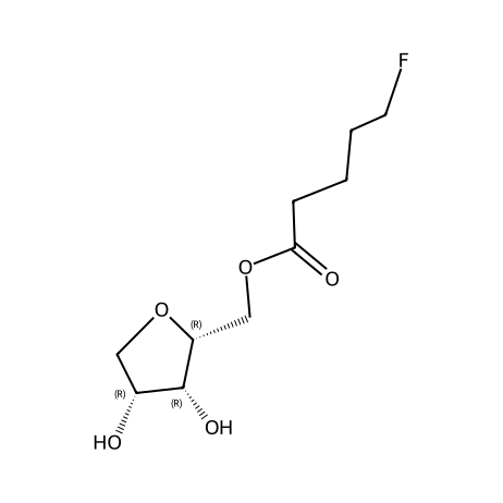 O=C(CCCCF)OC[C@H]1OC[C@@H](O)[C@H]1O